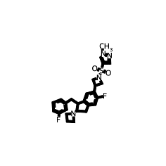 Cn1cc(S(=O)(=O)N2CC(c3cc4c(cc3F)CC(N3CCC3)C4Cc3cccc(F)c3)C2)cn1